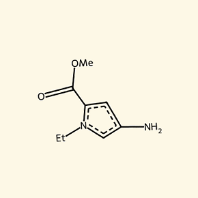 CCn1cc(N)cc1C(=O)OC